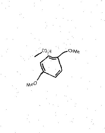 CC(=O)O.COc1ccc(OC)cc1